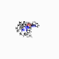 CN[C@@H](C)C(C)N[C@H](C(=O)N1Cc2cc(C(C)C)ccc2C[C@H]1C(=O)N[C@@H]1CCCc2ccccc21)C(C)(C)C